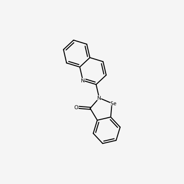 O=c1c2ccccc2[se]n1-c1ccc2ccccc2n1